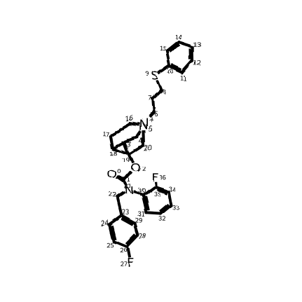 O=C(OC1C[N+]2(CCCSc3ccccc3)CCC1CC2)N(Cc1ccc(F)cc1)c1ccccc1F